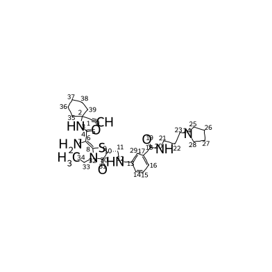 C#CC1(NC(=O)/C(N)=C2\S[C@H](CNc3cccc(C(=O)NCCCN4CCCC4)c3)C(=O)N2CC)CCCCC1